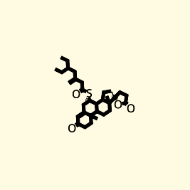 C=C(CC(=O)S[C@@H]1CC2=CC(=O)CCC2(C)C2CCC3(C)C(CC[C@@]34CCC(=O)O4)C21)CC(CC)CC